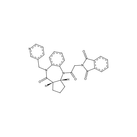 O=C1c2ccccc2C(=O)N1CC(=O)N1c2ccccc2N(Cc2cccnc2)C(=O)[C@H]2CCC[C@H]21